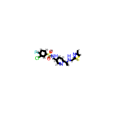 C=C(NCc1nc(C)cs1)c1ccc(CNS(=O)(=O)c2ccc(F)c(Cl)c2)cn1